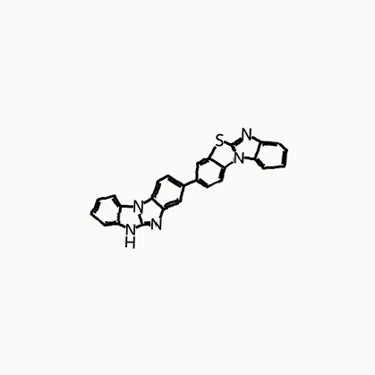 c1ccc2c(c1)nc1sc3cc(-c4ccc5c(c4)nc4[nH]c6ccccc6n45)ccc3n12